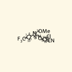 COCC1N=C(c2ccc(C(F)(F)F)cc2)SC1COc1ccc(C#N)c(Cl)c1